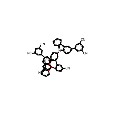 N#Cc1cc(C#N)cc(-c2ccc3c(c2)c2ccccc2n3-c2ccc(-c3ccc(C#N)cc3C(F)(F)F)c(-c3cc(C#N)ccc3-n3c4ccccc4c4cc(-c5cc(C#N)cc(C#N)c5)ccc43)c2)c1